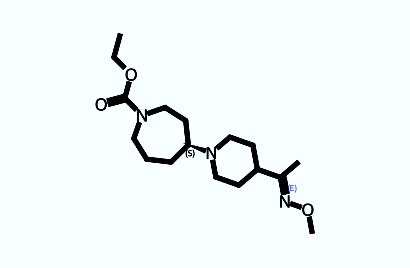 CCOC(=O)N1CCC[C@H](N2CCC(/C(C)=N/OC)CC2)CC1